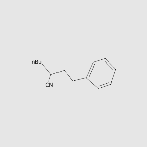 CCCCC(C#N)CCc1ccccc1